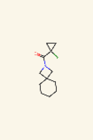 O=C(N1CC2(CCCCC2)C1)C1(F)CC1